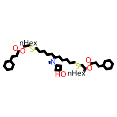 CCCCCCC(CSCCCCCC(CCCCCSCC(CCCCCC)OC(=O)CCC1CCCCC1)N(C)C1CC(O)C1)OC(=O)CCC1CCCCC1